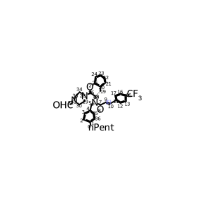 CCCCCc1ccc(CN(C(=O)/C=C/c2ccc(C(F)(F)F)cc2)[C@@H](Cc2ccccc2)C(=O)N2CCN(C=O)CC2)cc1